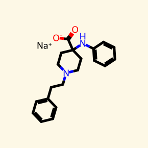 O=C([O-])C1(Nc2ccccc2)CCN(CCc2ccccc2)CC1.[Na+]